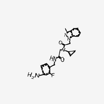 Cc1nn(CC(=O)N(CC(=O)NCc2ccc(N)cc2F)C2CC2)c2ccccc12